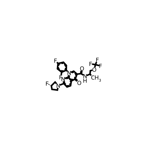 CC(COC(F)(F)F)NC(=O)c1cn(-c2ccc(F)cc2F)c2nc(N3CC[C@H](F)C3)ccc2c1=O